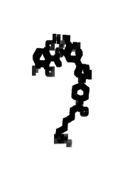 CC(Oc1cc(-c2cnn(C3CCN(C(=O)CCCCCN)CC3)c2)cnc1N)c1c(Cl)ccc(F)c1Cl